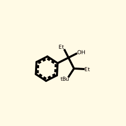 CCC(C(C)(C)C)C(O)(CC)c1ccccc1